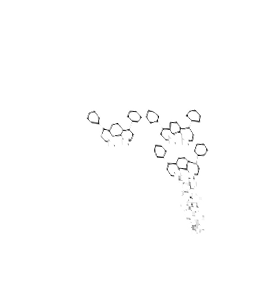 [O-][Cl+3]([O-])([O-])[O-].[O-][Cl+3]([O-])([O-])[O-].[O-][Cl+3]([O-])([O-])[O-].[Ru+3].c1ccc(-c2ccnc3c2ccc2c(-c4ccccc4)ccnc23)cc1.c1ccc(-c2ccnc3c2ccc2c(-c4ccccc4)ccnc23)cc1.c1ccc(-c2ccnc3c2ccc2c(-c4ccccc4)ccnc23)cc1